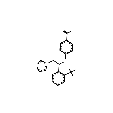 O=C(O)c1ccc(SC(Cn2ccnc2)c2ccccc2C(F)(F)F)cc1